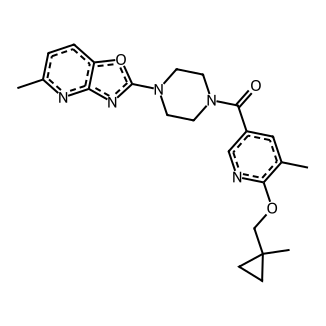 Cc1ccc2oc(N3CCN(C(=O)c4cnc(OCC5(C)CC5)c(C)c4)CC3)nc2n1